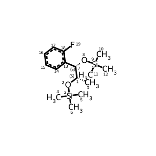 C[C@H](O[Si](C)(C)C)[C@@H](O[Si](C)(C)C)c1ccccc1F